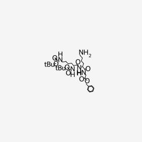 CC(C)(C)OC(=O)NCCCCC(NC(=O)OC(C)(C)C)C(=O)NC(CCCCN)C(=O)NCC(=O)OCc1ccccc1